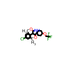 Cc1cc(Cl)cc(C)c1C1C(=O)NC2(CCC(OCC(F)(F)F)CC2)C1=O